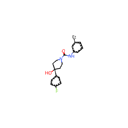 CCc1cccc(NC(=O)N2CCC(O)(c3ccc(F)cc3)CC2)c1